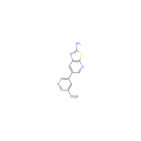 CCOC(=O)c1cncc(-c2cnc3sc(N)nc3c2)c1